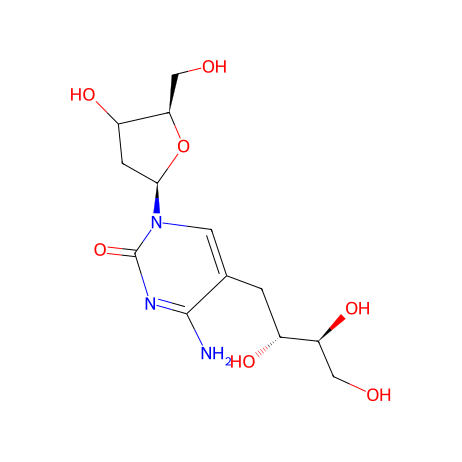 Nc1nc(=O)n([C@H]2CC(O)[C@@H](CO)O2)cc1C[C@@H](O)[C@@H](O)CO